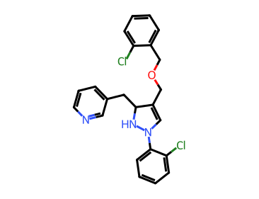 Clc1ccccc1COCC1=CN(c2ccccc2Cl)NC1Cc1cccnc1